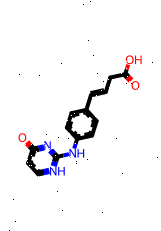 O=C(O)C/C=C/c1ccc(Nc2nc(=O)cc[nH]2)cc1